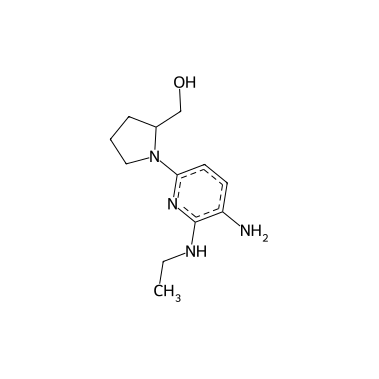 CCNc1nc(N2CCCC2CO)ccc1N